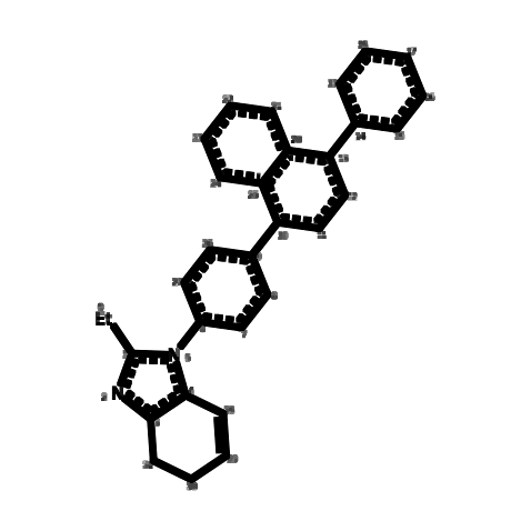 CCc1nc2c(n1-c1ccc(-c3ccc(-c4ccccc4)c4ccccc34)cc1)C=CCC2